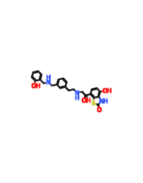 O=c1[nH]c2c(O)ccc([C@@H](O)CNCCc3cccc(CNCc4ccccc4O)c3)c2s1